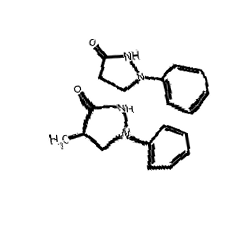 CC1CN(c2ccccc2)NC1=O.O=C1CCN(c2ccccc2)N1